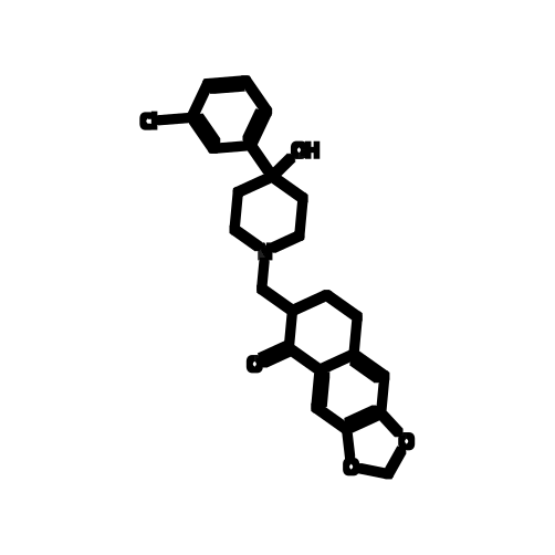 O=C1c2cc3c(cc2CCC1CN1CCC(O)(c2cccc(Cl)c2)CC1)OCO3